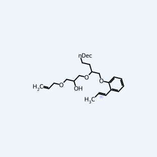 C=CCOCC(O)COC(CCCCCCCCCCCC)COc1ccccc1/C=C/C